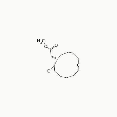 COC(=O)C=C1CCCCCCCCCC2OC12